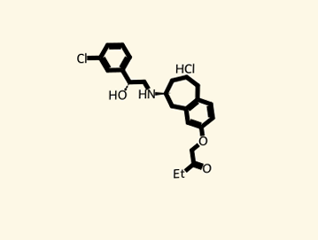 CCC(=O)COc1ccc2c(c1)C[C@@H](NC[C@H](O)c1cccc(Cl)c1)CCC2.Cl